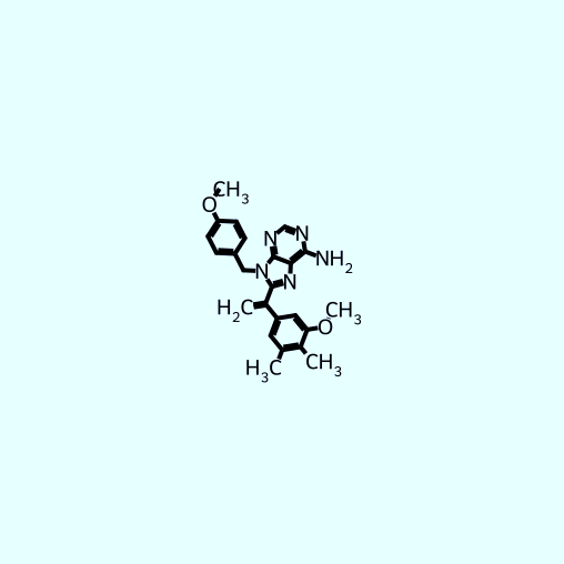 C=C(c1cc(C)c(C)c(OC)c1)c1nc2c(N)ncnc2n1Cc1ccc(OC)cc1